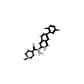 Cc1ccc(F)cc1-c1ccc2c(c1)=CNC(N(N)C(=O)C1CCN(C)CC1)C=2